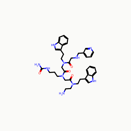 NCCN(CCc1c[nH]c2ccccc12)C(=O)CN(CCCNC(N)=O)C(=O)CN(CCc1c[nH]c2ccccc12)C(=O)CNCc1cccnc1